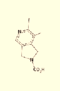 Cc1ncc2c(c1C)CN(C(=O)O)C2